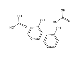 O=C(O)O.O=C(O)O.Oc1ccccc1.Oc1ccccc1